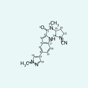 CN(C(=O)c1cc2cc(-c3cnn(C)c3)ccc2[nH]1)C1CCN(C#N)C1